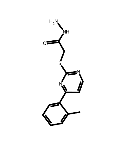 Cc1ccccc1-c1ccnc(SCC(=O)NN)n1